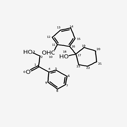 O=C(CO)c1ccccc1.O=Cc1ccccc1C1(O)CCCCC1